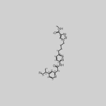 CNC(=O)c1cn(CCCCc2ccc(NC(=O)Cc3cc(C(C)CF)ccn3)nn2)nn1